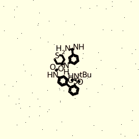 CC(C)(C)NS(=O)(=O)c1ccccc1-c1ccc(NC(=O)OC2(Nc3cccc(C(=N)N)c3)CCSCC2)cc1